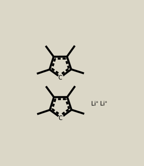 Cc1[cH-]c(C)c(C)c1C.Cc1[cH-]c(C)c(C)c1C.[Li+].[Li+]